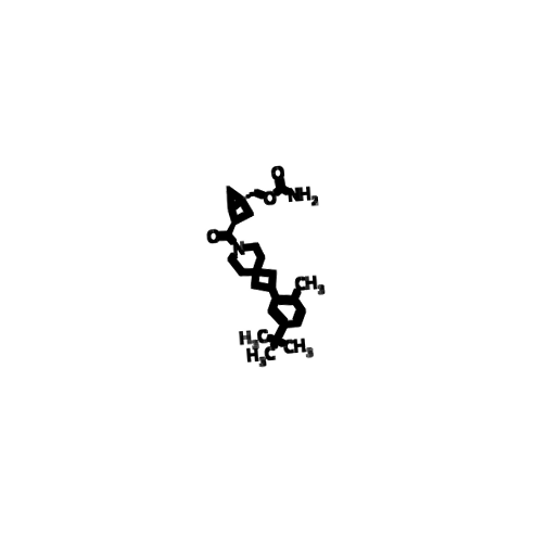 Cc1ccc(C(C)(C)C)cc1C1CC2(CCN(C(=O)[C@@H]3C[C@]4(COC(N)=O)CC34)CC2)C1